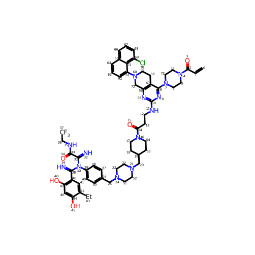 C=CC(=O)N1CCN(c2nc(NCCC(=O)N3CCC(CN4CCN(Cc5ccc(N(C(=N)C(=O)NCC(F)(F)F)C(=N)c6cc(CC)c(O)cc6O)cc5)CC4)CC3)nc3c2CCN(c2cccc4cccc(Cl)c24)C3)CC1